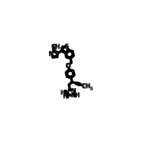 CC#CC(CC1=NNPN1)c1ccc(OCc2ccc3scc(-c4ccnn4C)c3c2)cc1